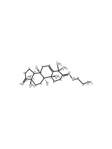 CC1(C)C2=CC[C@@H]3[C@H](CC[C@]4(C)C(=O)CC[C@@H]34)[C@@]2(C)CCC1=NOCCN